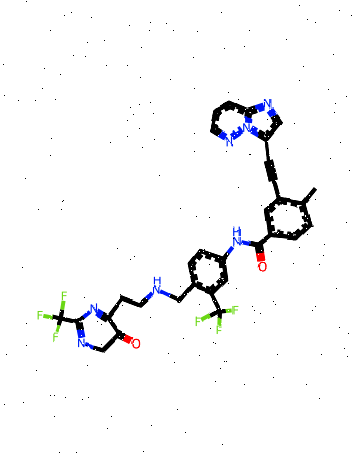 Cc1ccc(C(=O)Nc2ccc(CNCCC3=NC(C(F)(F)F)=NCC3=O)c(C(F)(F)F)c2)cc1C#Cc1cnc2cccnn12